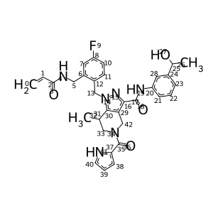 C=CC(=O)NCc1cc(F)ccc1Cn1nc(C(=O)Nc2cccc(C(C)O)c2)c2c1C(C)CN(C(=O)c1ccc[nH]1)C2